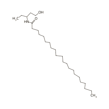 [CH2]CC(CCO)NC(=O)CCCCCCCCCCCCCCCCCCCCC